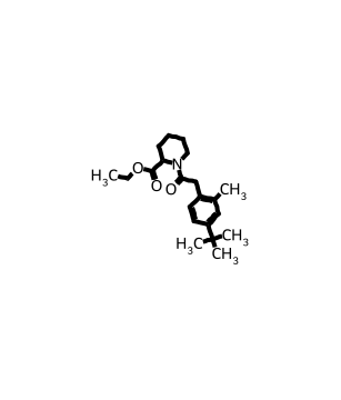 CCOC(=O)C1CCCCN1C(=O)Cc1ccc(C(C)(C)C)cc1C